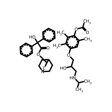 CC(=O)Oc1c(C)cc(OCC(O)CNC(C)C)c(C)c1C.O=C(OC1CN2CCC1CC2)C(O)(c1ccccc1)c1ccccc1